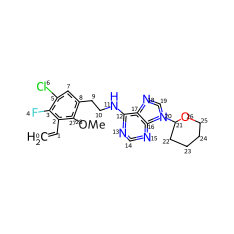 C=Cc1c(F)c(Cl)cc(CCNc2ncnc3c2ncn3C2CCCCO2)c1OC